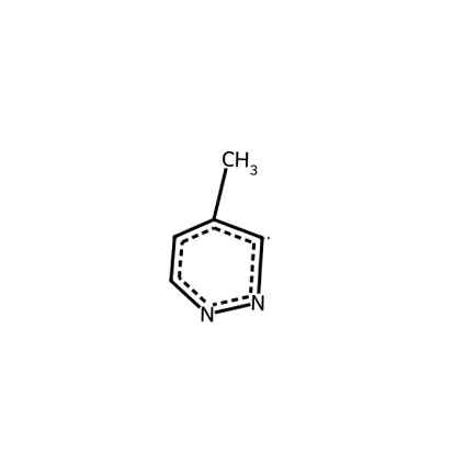 Cc1[c]nncc1